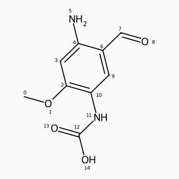 COc1cc(N)c(C=O)cc1NC(=O)O